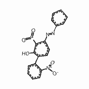 O=[N+]([O-])c1ccccc1-c1ccc(N=Nc2ccccc2)c(P(=O)=O)c1O